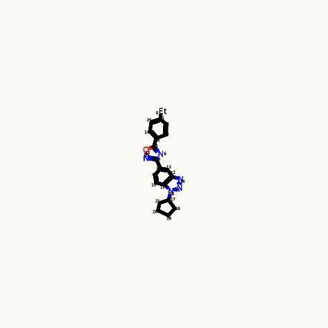 CCc1ccc(-c2nc(-c3ccc4c(c3)nnn4C3CCCC3)no2)cc1